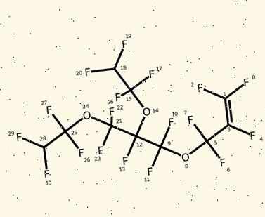 FC(F)=C(F)C(F)(F)OC(F)(F)C(F)(OC(F)(F)C(F)F)C(F)(F)OC(F)(F)C(F)F